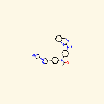 CC(=O)N(c1ccc(-c2cnn(C3CNC3)c2)cc1)C1CCC(Nc2ncc3ccccc3n2)CC1